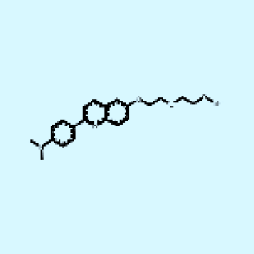 CCCOCCOCCOc1ccc2nc(-c3ccc(N(C)C)cc3)ccc2c1